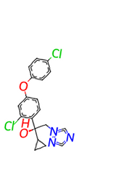 O[C@](Cn1cncn1)(c1ccc(Oc2ccc(Cl)cc2)cc1Cl)C1CC1